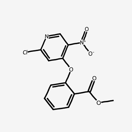 COC(=O)c1ccccc1Oc1cc(Cl)ncc1[N+](=O)[O-]